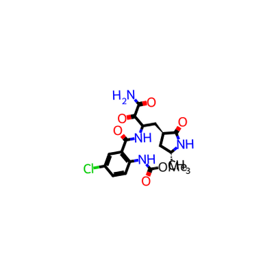 COC(=O)Nc1ccc(Cl)cc1C(=O)NC(C[C@@H]1C[C@@H](C)NC1=O)C(=O)C(N)=O